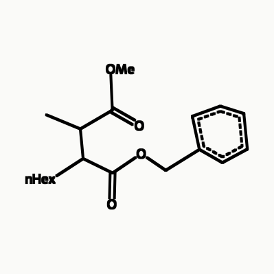 CCCCCCC(C(=O)OCc1ccccc1)C(C)C(=O)OC